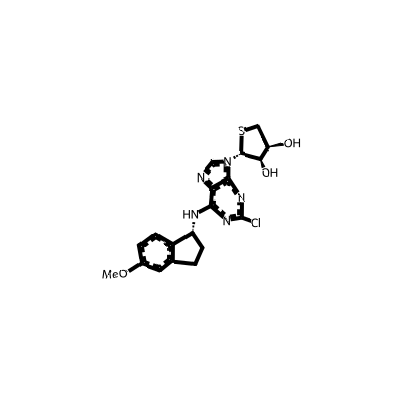 COc1ccc2c(c1)CC[C@H]2Nc1nc(Cl)nc2c1ncn2[C@@H]1SC[C@@H](O)[C@H]1O